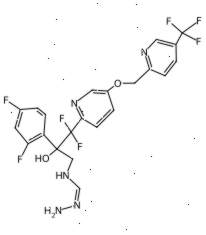 N/N=C\NCC(O)(c1ccc(F)cc1F)C(F)(F)c1ccc(OCc2ccc(C(F)(F)F)cn2)cn1